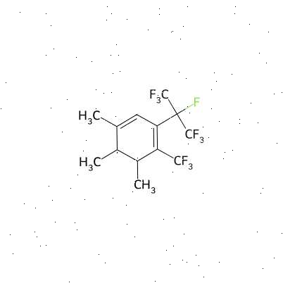 C[C]1C(C)=CC(C(F)(C(F)(F)F)C(F)(F)F)=C(C(F)(F)F)C1C